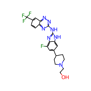 OCCN1CCC(c2cc(F)c3nc(Nc4nnc5cc(C(F)(F)F)ccc5n4)[nH]c3c2)CC1